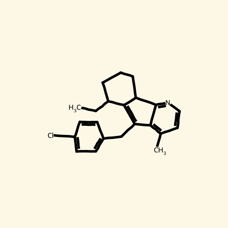 CCC1CCCC2C1=C(Cc1ccc(Cl)cc1)c1c(C)ccnc12